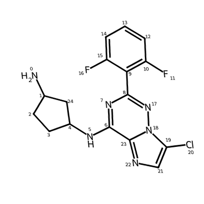 NC1CCC(Nc2nc(-c3c(F)cccc3F)nn3c(Cl)cnc23)C1